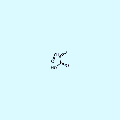 C=O.O=CC(=O)O